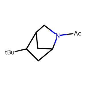 CC(=O)N1CC2CC1CC2C(C)(C)C